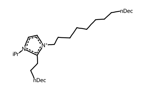 CCCCCCCCCCCCCCCCCC[n+]1ccn(C(C)C)c1CCCCCCCCCCCC